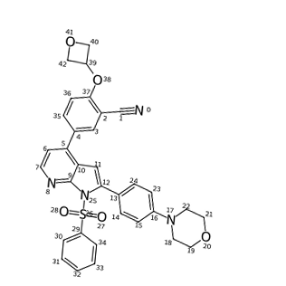 N#Cc1cc(-c2ccnc3c2cc(-c2ccc(N4CCOCC4)cc2)n3S(=O)(=O)c2ccccc2)ccc1OC1COC1